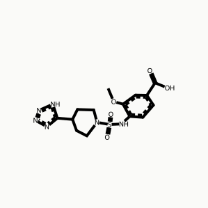 COc1cc(C(=O)O)ccc1NS(=O)(=O)N1CCC(c2nnn[nH]2)CC1